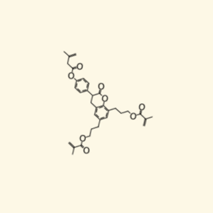 C=C(C)CC(=O)Oc1ccc(C2Cc3cc(CCCOC(=O)C(=C)C)cc(CCCOC(=O)C(=C)C)c3OC2=O)cc1